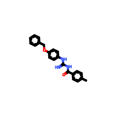 Cc1ccc(C(=O)NC(=N)Nc2ccc(OCc3ccccc3)cc2)cc1